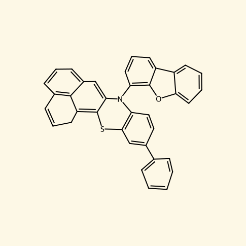 C1=Cc2cccc3cc4c(c(c23)C1)Sc1cc(-c2ccccc2)ccc1N4c1cccc2c1oc1ccccc12